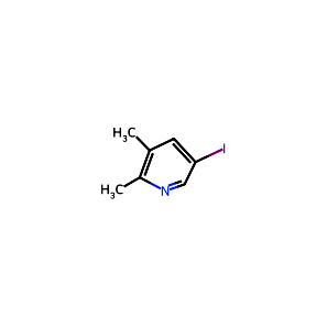 Cc1cc(I)cnc1C